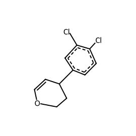 Clc1ccc(C2C=COCC2)cc1Cl